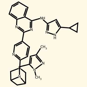 Cc1cc(CN2C3CC2CN(c2ccc(-c4nc(Nc5cc(C6CC6)[nH]n5)c5ccccc5n4)cn2)C3)n(C)n1